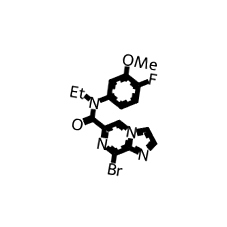 CCN(C(=O)c1cn2ccnc2c(Br)n1)c1ccc(F)c(OC)c1